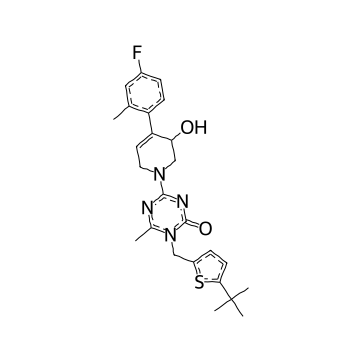 Cc1cc(F)ccc1C1=CCN(c2nc(C)n(Cc3ccc(C(C)(C)C)s3)c(=O)n2)CC1O